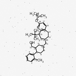 Cc1ccccc1C1CCN(C[C@@H]2CCc3ccc(O[SiH](C)C)nc3[C@H](C(C)(C)C)C2)CC1CO